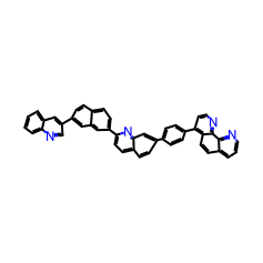 c1ccc2ncc(-c3ccc4ccc(-c5ccc6ccc(-c7ccc(-c8ccnc9c8ccc8cccnc89)cc7)cc6n5)cc4c3)cc2c1